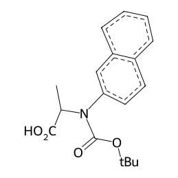 CC(C(=O)O)N(C(=O)OC(C)(C)C)c1ccc2ccccc2c1